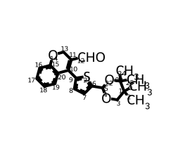 CC1(C)COC(c2ccc(C3=C(C=O)COc4ccccc43)s2)OC1(C)C